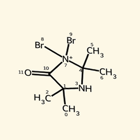 CC1(C)NC(C)(C)[N+](Br)(Br)C1=O